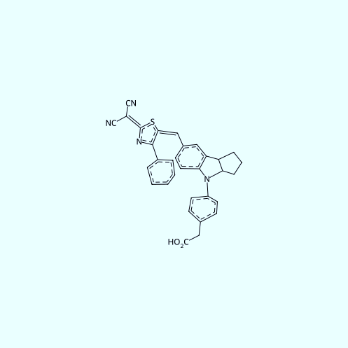 N#CC(C#N)=c1nc(-c2ccccc2)/c(=C\c2ccc3c(c2)C2CCCC2N3c2ccc(CC(=O)O)cc2)s1